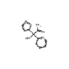 CCCC(C(N)=O)(c1ccccn1)n1ccnn1